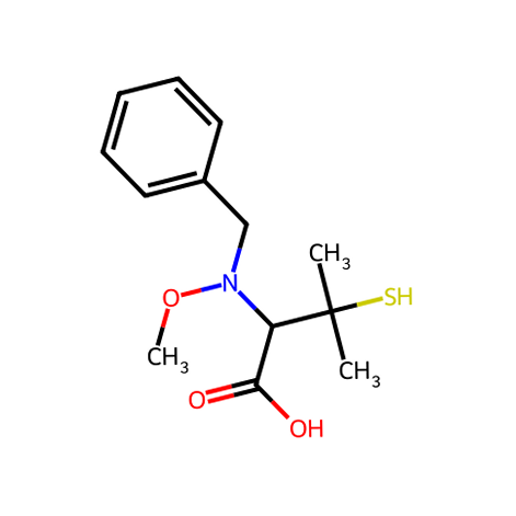 CON(Cc1ccccc1)C(C(=O)O)C(C)(C)S